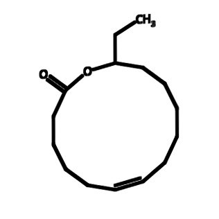 CCC1CCCCCC=CCCCCC(=O)O1